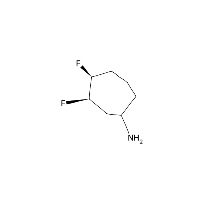 NC1CCC[C@H](F)[C@H](F)C1